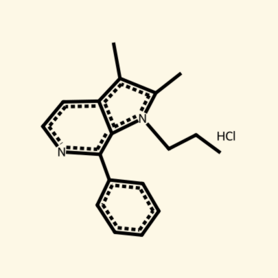 CCCn1c(C)c(C)c2ccnc(-c3ccccc3)c21.Cl